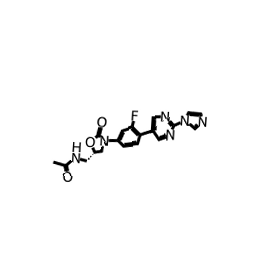 CC(=O)NC[C@H]1CN(c2ccc(-c3cnc(-n4ccnc4)nc3)c(F)c2)C(=O)O1